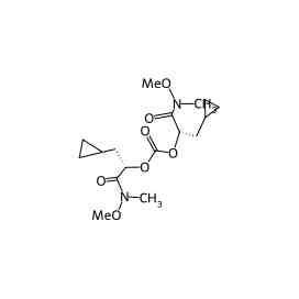 CON(C)C(=O)[C@H](CC1CC1)OC(=O)O[C@@H](CC1CC1)C(=O)N(C)OC